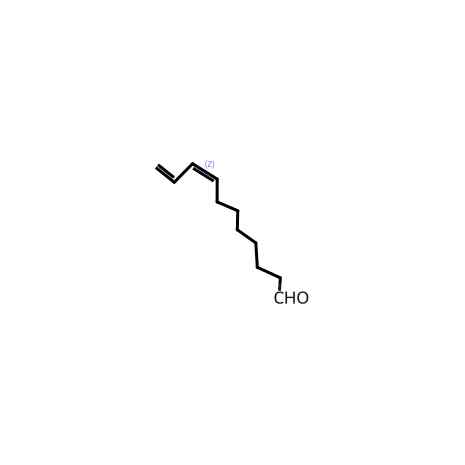 C=C/C=C\CCCCCCC=O